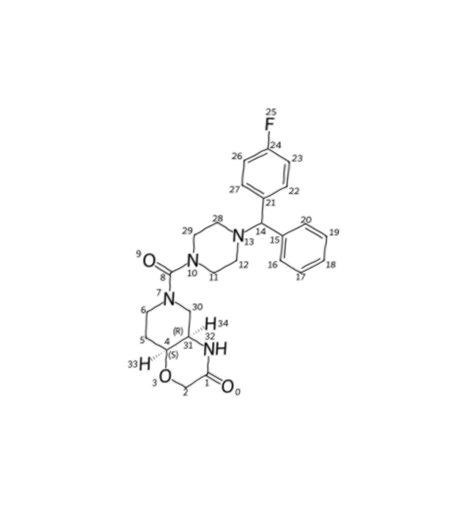 O=C1CO[C@H]2CCN(C(=O)N3CCN(C(c4ccccc4)c4ccc(F)cc4)CC3)C[C@H]2N1